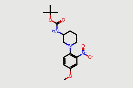 COc1ccc(N2CCCC(NC(=O)OC(C)(C)C)C2)c([N+](=O)[O-])c1